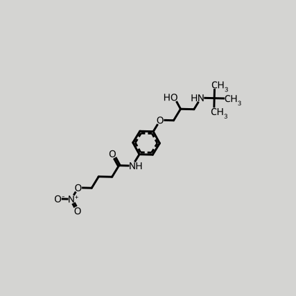 CC(C)(C)NCC(O)COc1ccc(NC(=O)CCCO[N+](=O)[O-])cc1